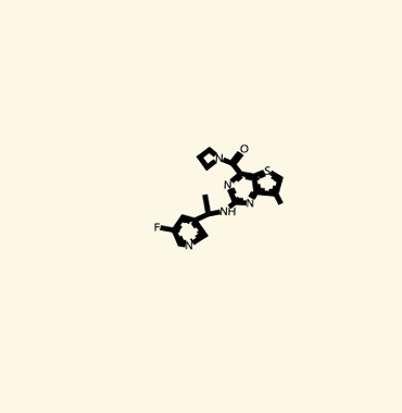 Cc1csc2c(C(=O)N3CCC3)nc(NC(C)c3cncc(F)c3)nc12